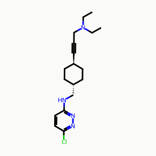 CCN(CC)CC#C[C@H]1CC[C@H](CNc2ccc(Cl)nn2)CC1